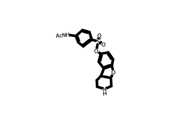 CC(=O)Nc1ccc(S(=O)(=O)Oc2ccc3c(c2)C2CCNCC2O3)cc1